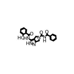 O=C(NC(=O)N1Cc2n[nH]c(NC(=O)c3ccccc3O)c2C1)c1ccccc1